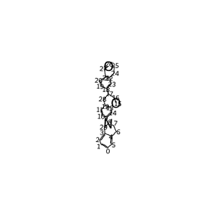 c1ccc2c(c1)CCN(c1ccc3c(c1)OCC(c1ccc4c(c1)CCOC4)C3)C2